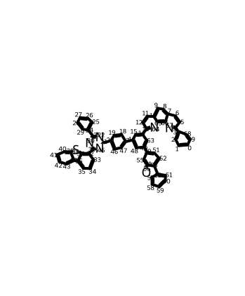 c1ccc(-c2ccc3ccc4ccc(-c5cc(-c6ccc(-c7nc(-c8ccccc8)nc(-c8cccc9c8sc8ccccc89)n7)cc6)cc(-c6ccc7c(c6)oc6ccccc67)c5)nc4c3n2)cc1